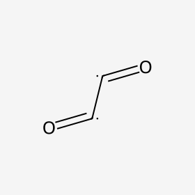 O=[C][C]=O